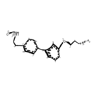 NCCOc1cccc(-c2ccc(CNCl)cc2)c1